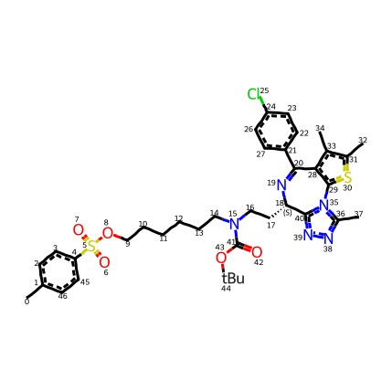 Cc1ccc(S(=O)(=O)OCCCCCCN(CC[C@@H]2N=C(c3ccc(Cl)cc3)c3c(sc(C)c3C)-n3c(C)nnc32)C(=O)OC(C)(C)C)cc1